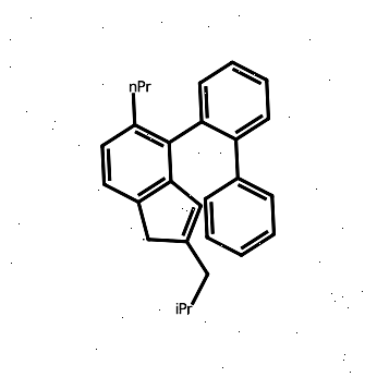 CCCc1ccc2c(c1-c1ccccc1-c1ccccc1)C=C(CC(C)C)[CH]2